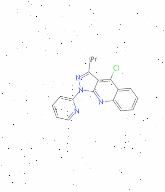 CC(C)c1nn(-c2ccccn2)c2nc3ccccc3c(Cl)c12